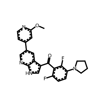 COc1cc(-c2cnc3[nH]cc(C(=O)c4c(F)ccc(N5CCCC5)c4F)c3c2)ccn1